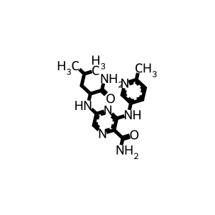 Cc1ccc(Nc2nc(NC(CC(C)C)C(N)=O)cnc2C(N)=O)cn1